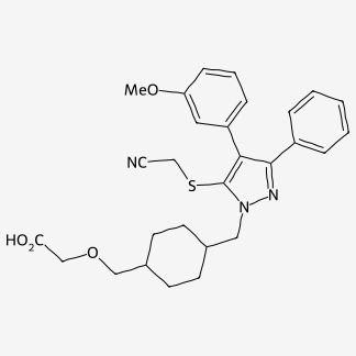 COc1cccc(-c2c(-c3ccccc3)nn(CC3CCC(COCC(=O)O)CC3)c2SCC#N)c1